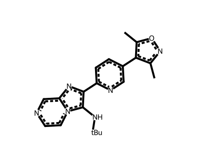 Cc1noc(C)c1-c1ccc(-c2nc3cnccn3c2NC(C)(C)C)nc1